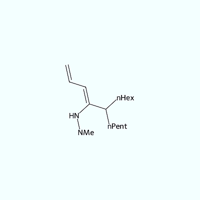 C=C/C=C(\NNC)C(CCCCC)CCCCCC